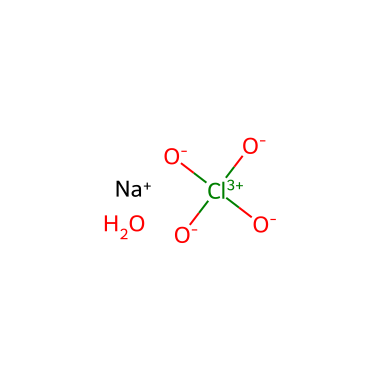 O.[Na+].[O-][Cl+3]([O-])([O-])[O-]